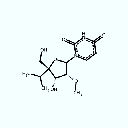 CO[C@H]1C(n2ccc(=O)[nH]c2=O)O[C@@](CO)(C(C)C)[C@H]1O